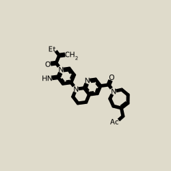 C=C(CC)C(=O)n1ccc(N2CCCc3cc(C(=O)N4CCC=C(CC(C)=O)CC4)cnc32)cc1=N